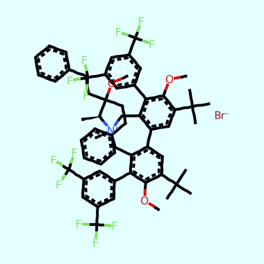 COc1c(C(C)(C)C)cc2c(c1-c1cc(C(F)(F)F)cc(C(F)(F)F)c1)C[N+](C)([C@@H](C)C(CCc1ccccc1)(CCc1ccccc1)OC)Cc1c-2cc(C(C)(C)C)c(OC)c1-c1cc(C(F)(F)F)cc(C(F)(F)F)c1.[Br-]